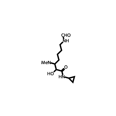 CNC(CCCCNC=O)C(O)C(=O)NC1CC1